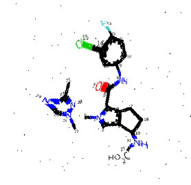 Cn1cc2c(c1C(=O)Nc1ccc(F)c(Cl)c1)CCC2NC(=O)O.[CH2]c1ncn(C)n1